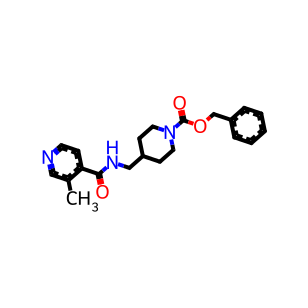 Cc1cnccc1C(=O)NCC1CCN(C(=O)OCc2ccccc2)CC1